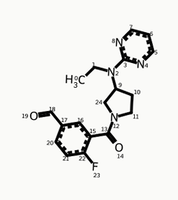 CCN(c1ncccn1)C1CCN(C(=O)c2cc(C=O)ccc2F)C1